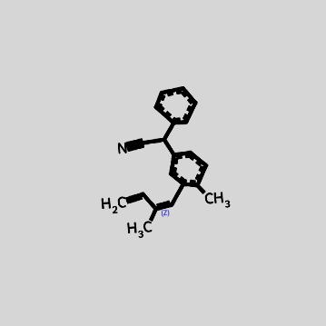 C=C/C(C)=C\c1cc(C(C#N)c2ccccc2)ccc1C